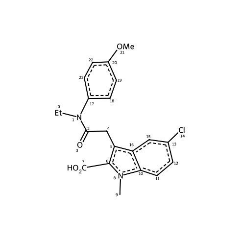 CCN(C(=O)Cc1c(C(=O)O)n(C)c2ccc(Cl)cc12)c1ccc(OC)cc1